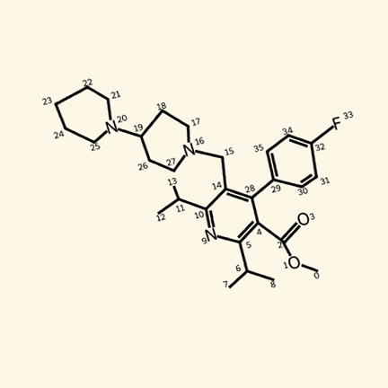 COC(=O)c1c(C(C)C)nc(C(C)C)c(CN2CCC(N3CCCCC3)CC2)c1-c1ccc(F)cc1